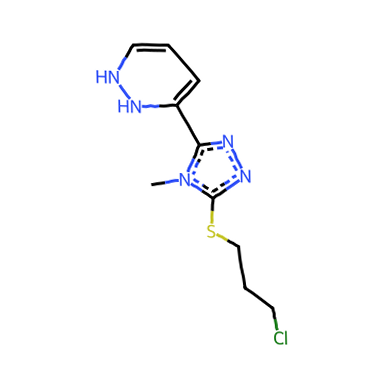 Cn1c(SCCCCl)nnc1C1=CC=CNN1